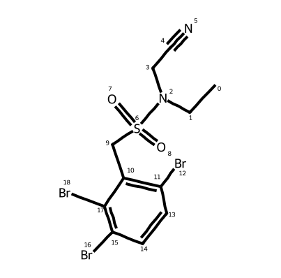 CCN(CC#N)S(=O)(=O)Cc1c(Br)ccc(Br)c1Br